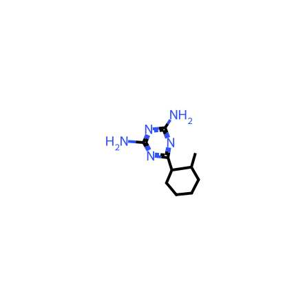 CC1CCCCC1c1nc(N)nc(N)n1